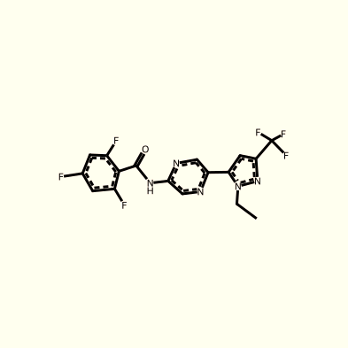 CCn1nc(C(F)(F)F)cc1-c1cnc(NC(=O)c2c(F)cc(F)cc2F)cn1